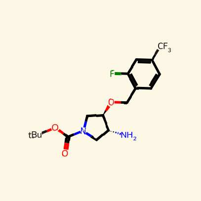 CC(C)(C)OC(=O)N1C[C@@H](N)[C@H](OCc2ccc(C(F)(F)F)cc2F)C1